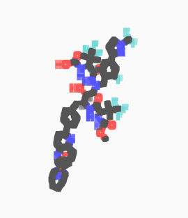 COC(=O)N[C@H](C(=O)N[C@@H](Cc1ccc(-c2ccc3nc(N4CC5CCC(C4)N5C4COC4)ccc3n2)cc1)[C@@H](O)CN(Cc1c(F)cc(-c2ccn(C(F)F)n2)cc1F)NC(=O)[C@@H](NC(=O)O)C(C)(C)C(F)(F)F)C(C)(C)C(F)(F)F